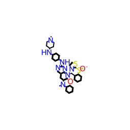 CN1CCC(Nc2ccc(Nc3ncc4cc(N(C)c5ccccc5)c(=O)n(Cc5ccccc5[S+]([O-])c5nccs5)c4n3)cc2)CC1